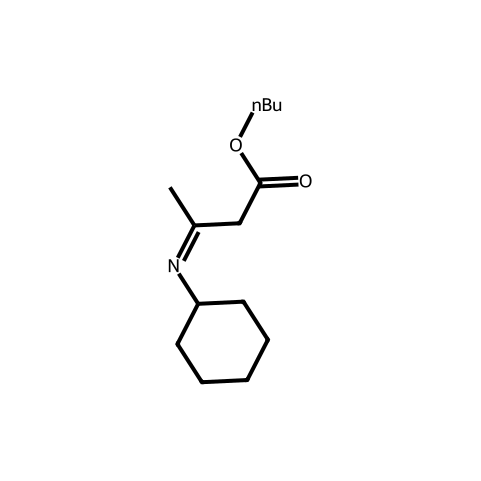 CCCCOC(=O)CC(C)=NC1CCCCC1